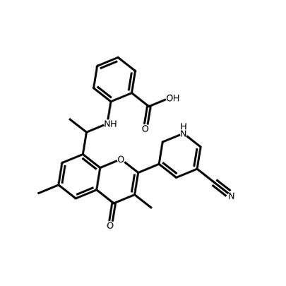 Cc1cc(C(C)Nc2ccccc2C(=O)O)c2oc(C3=CC(C#N)=CNC3)c(C)c(=O)c2c1